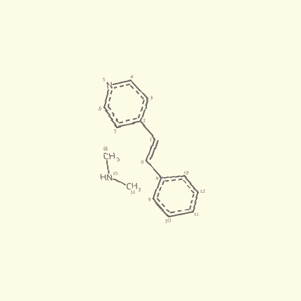 C(=Cc1ccncc1)c1ccccc1.CNC